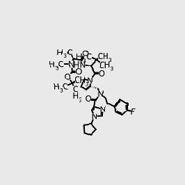 C[C@@H](C(=O)N[C@H](C(=O)N1CCC[C@H]1CN(CCc1ccc(F)cc1)C(=O)c1cn(C2CCCC2)cn1)C(C)(C)C)N(C)C(=O)OC(C)(C)C